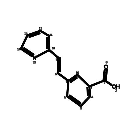 O=C(O)c1cccc(/C=C/c2ccccn2)c1